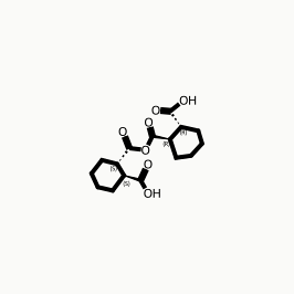 O=C(O)[C@H]1CCCC[C@@H]1C(=O)OC(=O)[C@@H]1CCCC[C@H]1C(=O)O